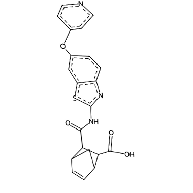 O=C(O)C1C2C=CC(C2)C1C(=O)Nc1nc2ccc(Oc3ccncc3)cc2s1